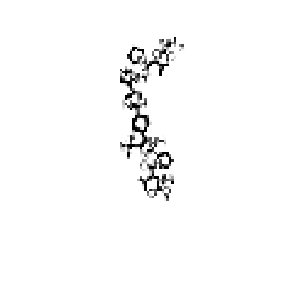 COC(=O)N[C@H](C(=O)N1CCC[C@H]1c1nc(C(F)(F)F)c(-c2ccc(-c3ncc(-c4cnc([C@@H]5CCCN5C(=O)[C@@H](OC(N)=O)C(C)C)[nH]4)cn3)cc2)[nH]1)C(C)C